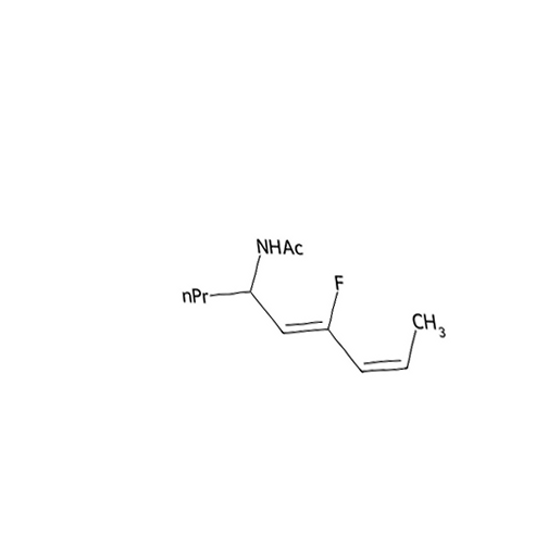 C/C=C\C(F)=C\C(CCC)NC(C)=O